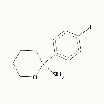 [SiH3]C1(c2ccc(I)cc2)CCCCO1